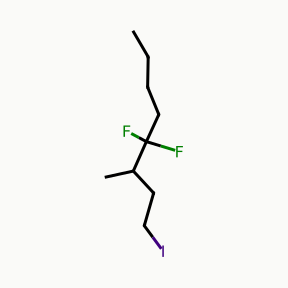 CCCCC(F)(F)C(C)CCI